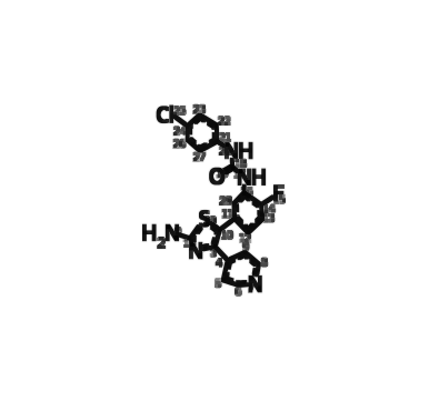 Nc1nc(-c2ccncc2)c(-c2ccc(F)c(NC(=O)Nc3ccc(Cl)cc3)c2)s1